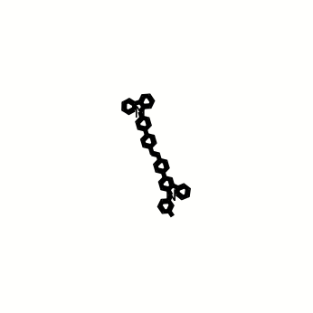 Cc1cccc(-n2c3ccccc3c3cc(-c4ccc(/C=C/c5ccc(-c6ccc(-n7c8ccccc8c8ccccc87)cc6)cc5)cc4)ccc32)c1